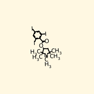 CN1C(C)(C)CC(OC(=O)c2c(I)cc(I)cc2I)C1(C)C